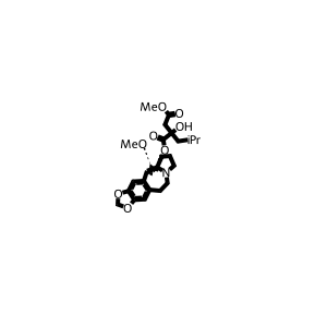 COC(=O)CC(O)(CC(C)C)C(=O)OC1[C@@H](OC)C=C2c3cc4c(cc3CCN3CCC[C@@]213)OCO4